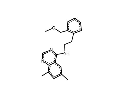 COCc1ccccc1CCNc1ncnc2c(C)cc(C)cc12